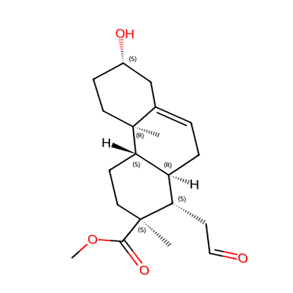 COC(=O)[C@@]1(C)CC[C@H]2[C@@H](CC=C3C[C@@H](O)CC[C@@]32C)[C@@H]1CC=O